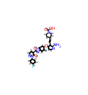 Nc1nccc(Oc2ccc(NC(=O)c3ccnn(-c4ccc(F)cc4)c3=O)cc2F)c1C#CC1CCN(C(=O)O)CC1